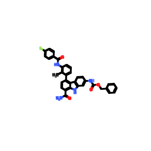 Cc1c(NC(=O)c2ccc(F)cc2)cccc1-c1ccc(C(N)=O)c2[nH]c3cc(NC(=O)OCc4ccccc4)ccc3c12